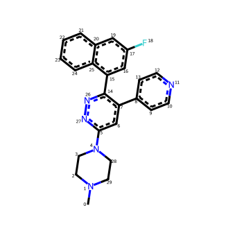 CN1CCN(c2cc(-c3ccncc3)c(-c3cc(F)cc4ccccc34)nn2)CC1